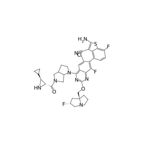 N#Cc1c(N)sc2c(F)ccc(-c3c(Cl)cc4c(N5CCC6CN(C(=O)[C@@H]7N[C@H]7C7CC7)CC65)nc(OC[C@@]56CCCN5C[C@H](F)C6)nc4c3F)c12